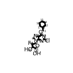 OC[C@H]1O[C@@H](n2cnc3c(OCc4ccccc4)nc(Cl)nc32)[C@@H](F)[C@@H]1O